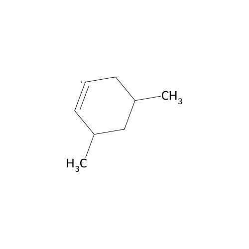 CC1C=[C]CC(C)C1